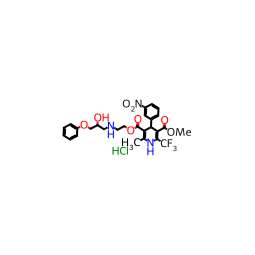 COC(=O)C1=C(C(F)(F)F)NC(C)=C(C(=O)OCCNCC(O)COc2ccccc2)C1c1cccc([N+](=O)[O-])c1.Cl